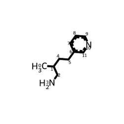 CC(CN)CCc1cccnc1